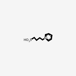 O=S(=O)(O)CCCC[n+]1ccccc1